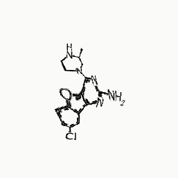 C[C@H]1CN(c2nc(N)nc3c2oc2ccc(Cl)cc23)CCN1